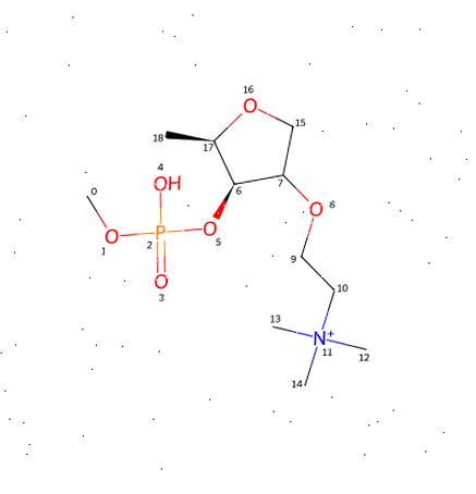 COP(=O)(O)O[C@@H]1C(OCC[N+](C)(C)C)CO[C@@H]1C